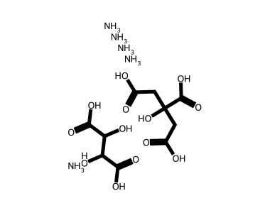 N.N.N.N.N.O=C(O)C(O)C(O)C(=O)O.O=C(O)CC(O)(CC(=O)O)C(=O)O